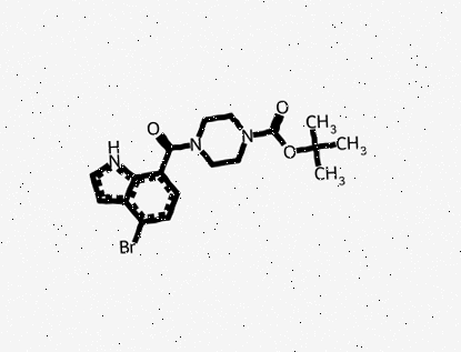 CC(C)(C)OC(=O)N1CCN(C(=O)c2ccc(Br)c3cc[nH]c23)CC1